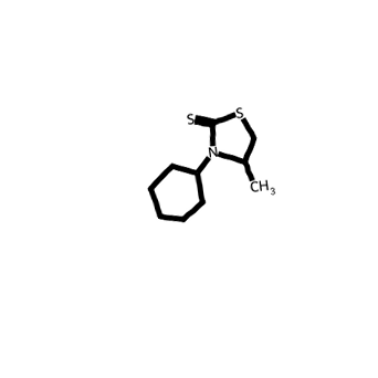 CC1CSC(=S)N1C1CCCCC1